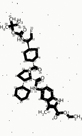 CCOC(=O)c1[nH]c2ccc(NC(=O)[C@@H]3[C@H](C4CCCCC4)CCN3C(=O)[C@H]3CC[C@H](C(CF)NC(=O)OC(C)(C)C)CC3)cc2c1C